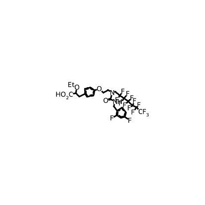 CCOC(Cc1ccc(OCCN(CC(F)(F)C(F)(F)C(F)(F)C(F)(F)C(F)(F)C(F)(F)F)C(=O)NCc2ccc(F)cc2F)cc1)C(=O)O